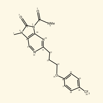 CNC(=O)n1c(=O)n(C)c2cnc(CCCOc3ccc(C(F)(F)F)cc3)nc21